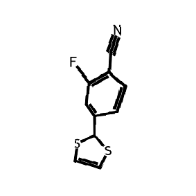 N#Cc1ccc(C2SC=CS2)cc1F